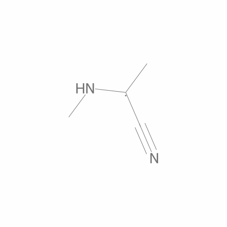 CN[C](C)C#N